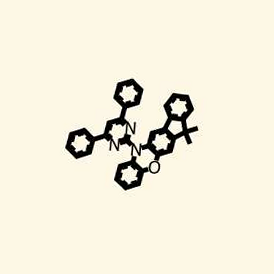 CC1(C)c2ccccc2-c2cc3c(cc21)Oc1ccccc1N3c1nc(-c2ccccc2)cc(-c2ccccc2)n1